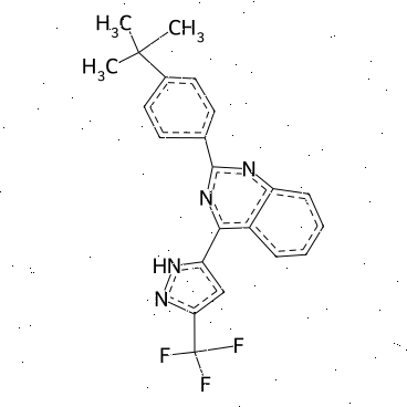 CC(C)(C)c1ccc(-c2nc(-c3cc(C(F)(F)F)n[nH]3)c3ccccc3n2)cc1